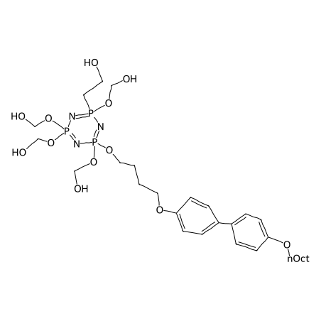 CCCCCCCCOc1ccc(-c2ccc(OCCCCOP3(OCO)=NP(CCO)(OCO)=NP(OCO)(OCO)=N3)cc2)cc1